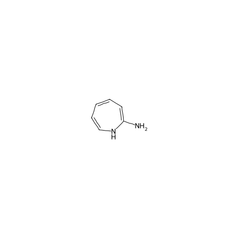 NC1=CC=CC=CN1